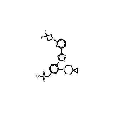 CS(=O)(=O)Nc1ccc(-n2cc(-c3cccc(N4CC(F)(F)C4)n3)nn2)c(N2CCC3(CC2)CC3)c1